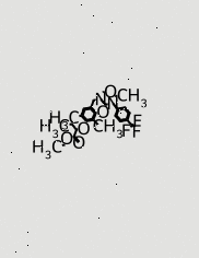 CCOC(=O)C(CC)Oc1c(C)cc(CN(C=O)C(=O)N(CC)c2ccc(C(F)(F)F)cc2)cc1C